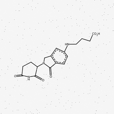 O=C(O)CCCNc1ccc2c(c1)CN(C1CCC(=O)NC1=O)C2=O